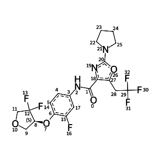 O=C(Nc1ccc(O[C@H]2COCC2(F)F)c(F)c1)c1nc(N2CCCC2)oc1CC(F)(F)F